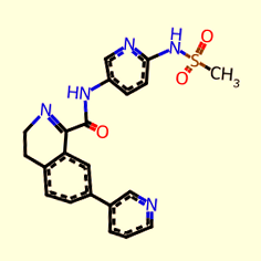 CS(=O)(=O)Nc1ccc(NC(=O)C2=NCCc3ccc(-c4cccnc4)cc32)cn1